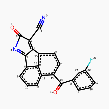 N#CC1=C2C(=NC1=O)c1cccc3c(C(=O)c4cccc(F)c4)ccc2c13